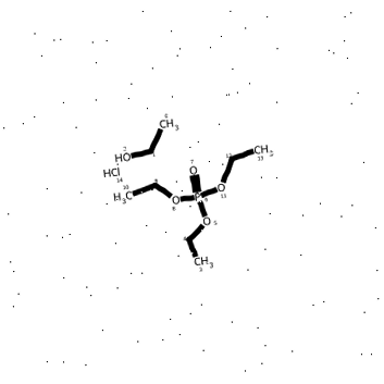 CCO.CCOP(=O)(OCC)OCC.Cl